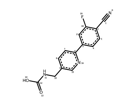 N#Cc1ccc(-c2ccc(CNC(=O)O)cn2)cc1F